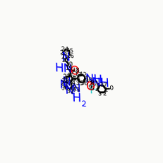 Cc1ccc(F)c(NC(=O)Nc2ccc(-c3c(C(=O)NCCN4CCCC4)cn4ncnc(N)c34)cc2)c1